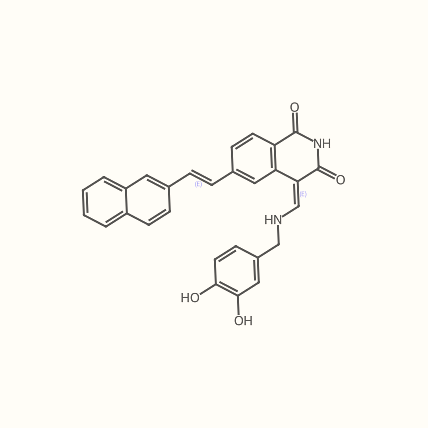 O=C1NC(=O)c2ccc(/C=C/c3ccc4ccccc4c3)cc2/C1=C\NCc1ccc(O)c(O)c1